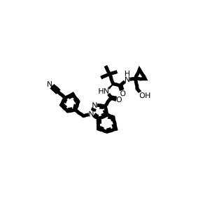 CC(C)(C)[C@H](NC(=O)c1nn(Cc2ccc(C#N)cc2)c2ccccc12)C(=O)NC1(CO)CC1